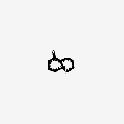 O=c1cccc2s[c]ccc1-2